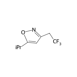 CC(C)c1cc(CC(F)(F)F)no1